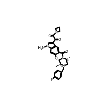 C[C@@H]1CN(Cc2ccc(F)cc2)[C@@H](C)CN1C(=O)c1cc2c(C(=O)C(=O)N3CCC3)cn(N)c2cc1Cl